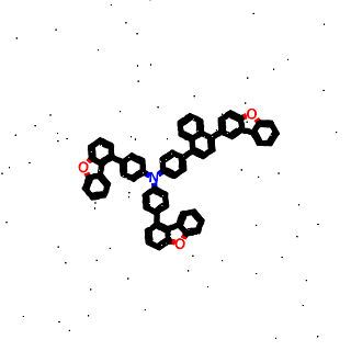 c1ccc2c(c1)oc1ccc(-c3ccc(-c4ccc(N(c5ccc(-c6cccc7oc8ccccc8c67)cc5)c5ccc(-c6cccc7oc8ccccc8c67)cc5)cc4)c4ccccc34)cc12